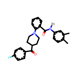 CCN(C(=O)c1ccccc1N1CCC(C(=O)c2ccc(F)cc2)CC1)c1ccc(C)c(C)c1